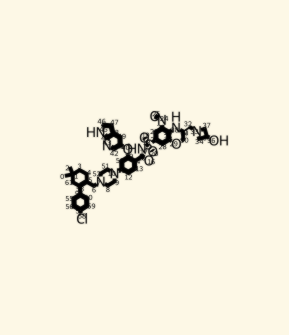 CC1(C)CCC(CN2CCN(c3ccc(C(=O)NS(=O)(=O)c4cc(N=O)c5c(c4)OC[C@H](CN4CC(O)C4)N5)c(Oc4cnc5[nH]ccc5c4)c3)CC2)=C(c2ccc(Cl)cc2)C1